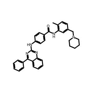 Cc1ccc(CN2CCCCC2)cc1NC(=O)c1ccc(Nc2nc(-c3ccccc3)c3ccccc3n2)cc1